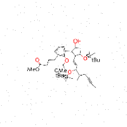 CC#CCC(C)C(C=CC1C(O[Si](C)(C)C(C)(C)C)CC(O)C1c1cccc(CCCC(=O)OC)c1OCOC)O[Si](C)(C)C(C)(C)C